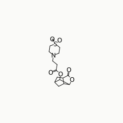 O=C(CCN1CCS(=O)(=O)CC1)OC1C2CC3C(=O)OC1C3C2